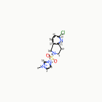 C[n+]1ccn(S(=O)(=O)N2CCc3nc(Cl)ccc3C2)c1